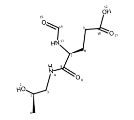 C[C@@H](O)CNC(=O)[C@H](CCC(=O)O)NC=O